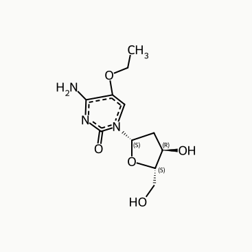 CCOc1cn([C@@H]2C[C@@H](O)[C@H](CO)O2)c(=O)nc1N